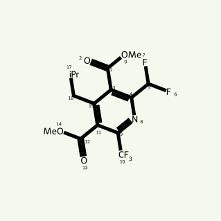 COC(=O)c1c(C(F)F)nc(C(F)(F)F)c(C(=O)OC)c1CC(C)C